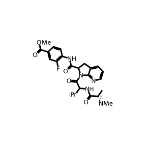 CN[C@@H](C)C(=O)NC(C(=O)N1c2ncccc2CC1C(=O)Nc1ccc(C(=O)OC)cc1F)C(C)C